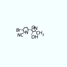 Cc1noc(-c2ccc(Br)c(C#N)n2)c1CO